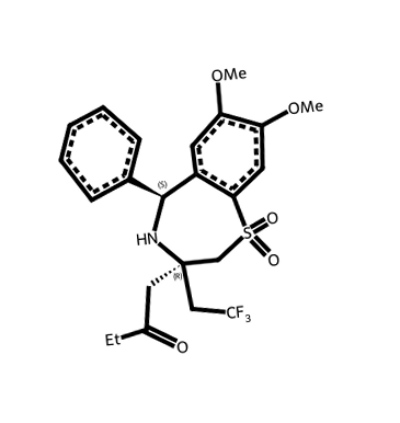 CCC(=O)C[C@@]1(CC(F)(F)F)CS(=O)(=O)c2cc(OC)c(OC)cc2[C@H](c2ccccc2)N1